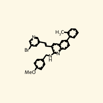 COc1ccc(CNc2nc3ccc(-c4ccccc4C)cc3cc2C=Cc2cncc(Br)c2)cc1